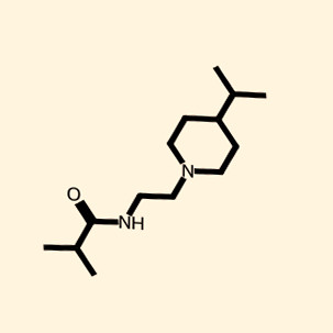 CC(C)C(=O)NCCN1CCC(C(C)C)CC1